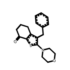 O=C1CCCc2c1sc(N1CCOCC1)c2Cc1ccccc1